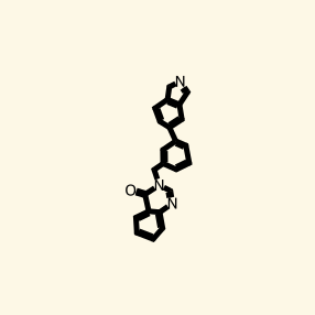 O=c1c2ccccc2ncn1Cc1cccc(-c2ccc3c(c2)C=NC3)c1